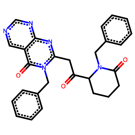 O=C(Cc1nc2ncncc2c(=O)n1Cc1ccccc1)C1CCCC(=O)N1Cc1ccccc1